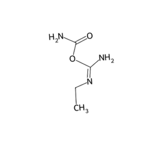 CCN=C(N)OC(N)=O